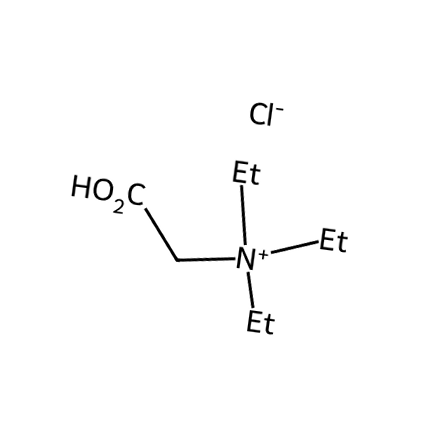 CC[N+](CC)(CC)CC(=O)O.[Cl-]